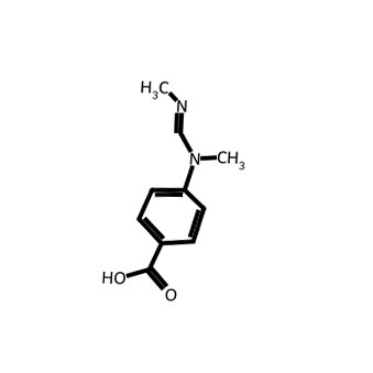 CN=CN(C)c1ccc(C(=O)O)cc1